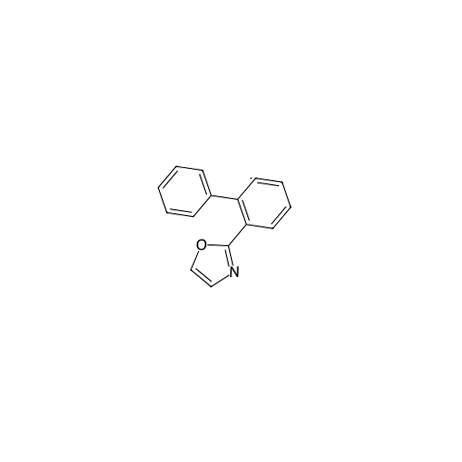 [c]1cccc(-c2ncco2)c1-c1ccccc1